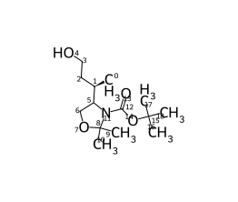 C[C@H](CCO)C1COC(C)(C)N1C(=O)OC(C)(C)C